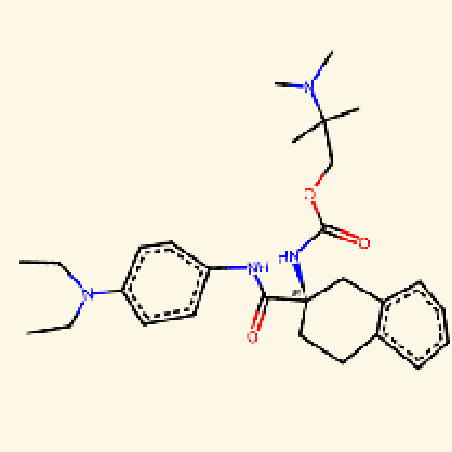 CCN(CC)c1ccc(NC(=O)[C@@]2(NC(=O)OCC(C)(C)N(C)C)CCc3ccccc3C2)cc1